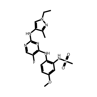 CCn1cc(Nc2ncc(F)c(Nc3ccc(OC)cc3NS(C)(=O)=O)n2)c(C)n1